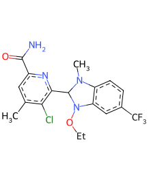 CCON1c2cc(C(F)(F)F)ccc2N(C)C1c1nc(C(N)=O)cc(C)c1Cl